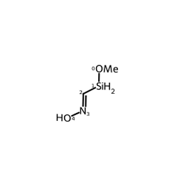 CO[SiH2]C=NO